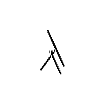 CCCCCCCCCCCCCCCCCCN(CCCCCCCCCCCCCCCC)CCNCCN(CCCCCCCCCCCCCCCC)CCCCCCCCCCCCCCCCCC